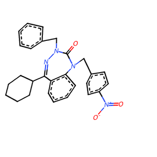 O=C1N(Cc2ccccc2)N=C(C2CCCCC2)c2ccccc2N1Cc1ccc([N+](=O)[O-])cc1